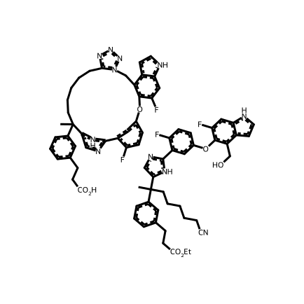 CC1(c2cccc(CCC(=O)O)c2)CCCCCc2nnnn2Cc2c(c(F)cc3[nH]ccc23)Oc2ccc(F)c(c2)-c2ncc1[nH]2.CCOC(=O)CCc1cccc(C(C)(CCCCCC#N)c2cnc(-c3cc(Oc4c(F)cc5[nH]ccc5c4CO)ccc3F)[nH]2)c1